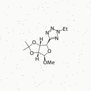 CCn1nnc([C@H]2O[C@@H](OC)[C@@H]3OC(C)(C)O[C@@H]32)n1